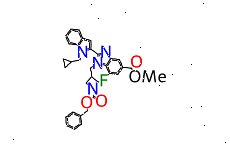 COC(=O)c1cc(F)c2c(c1)nc(-c1cc3ccccc3n1CC1CC1)n2CC1CN(C(=O)OCc2ccccc2)C1